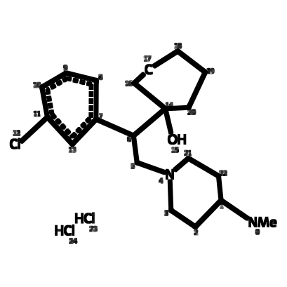 CNC1CCN(CC(c2cccc(Cl)c2)C2(O)CCCCC2)CC1.Cl.Cl